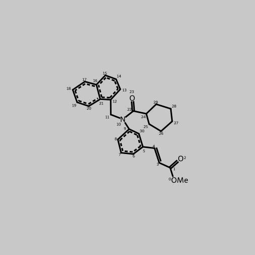 COC(=O)C=Cc1cccc(N(Cc2cccc3ccccc23)C(=O)C2CCCCC2)c1